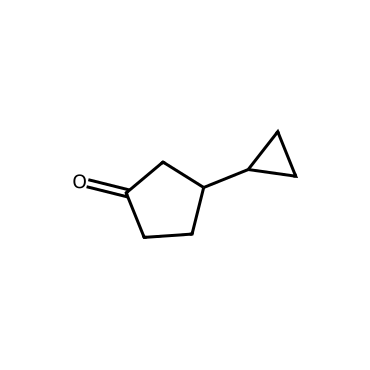 O=C1CCC(C2CC2)C1